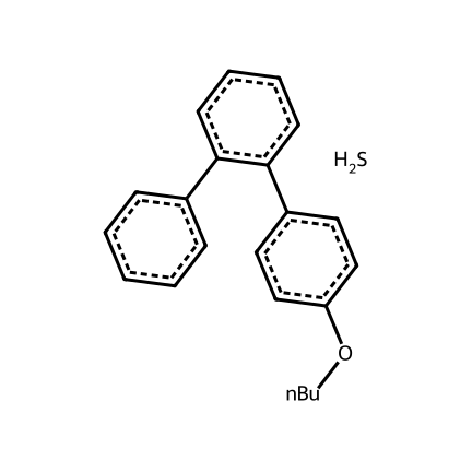 CCCCOc1ccc(-c2ccccc2-c2ccccc2)cc1.S